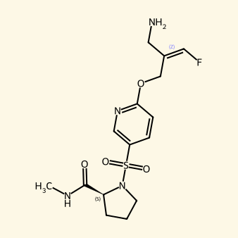 CNC(=O)[C@@H]1CCCN1S(=O)(=O)c1ccc(OC/C(=C\F)CN)nc1